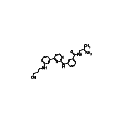 CC(N)CNC(=O)c1cccc(Nc2nccc(-c3ccnc(NCCCO)c3)n2)c1